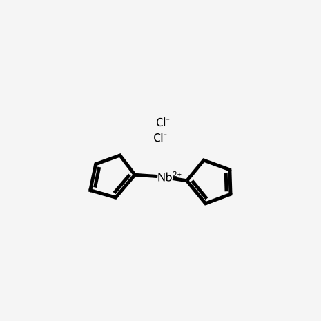 C1=CC[C]([Nb+2][C]2=CC=CC2)=C1.[Cl-].[Cl-]